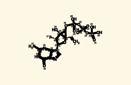 C=C[C@]12O[C@@H](n3cnc4c(=O)[nH]c(N)nc43)[C@H](F)[C@@]1(O)C2OP(=O)(O)OP(=O)(O)OP(=O)(O)O